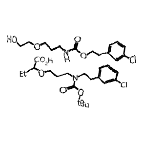 CCC(OCCCN(CCc1cccc(Cl)c1)C(=O)OC(C)(C)C)C(=O)O.O=C(NCCCOCCO)OCCc1cccc(Cl)c1